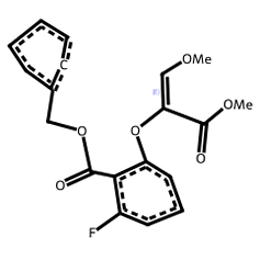 CO/C=C(/Oc1cccc(F)c1C(=O)OCc1ccccc1)C(=O)OC